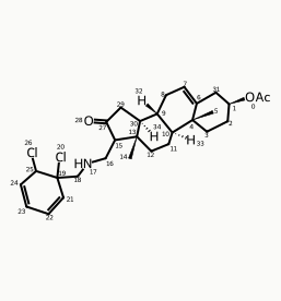 CC(=O)O[C@H]1CC[C@@]2(C)C(=CC[C@@H]3[C@@H]2CC[C@]2(C)C(CNCC4(Cl)C=CC=CC4Cl)C(=O)C[C@@H]32)C1